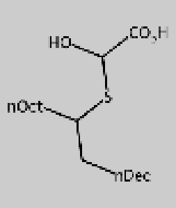 CCCCCCCCCCCC(CCCCCCCC)SC(O)C(=O)O